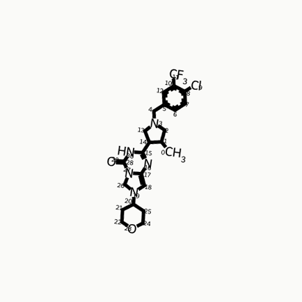 CC1CN(Cc2ccc(Cl)c(C(F)(F)F)c2)CC1C1=NC2=CN(C3CCOCC3)CN2C(=O)N1